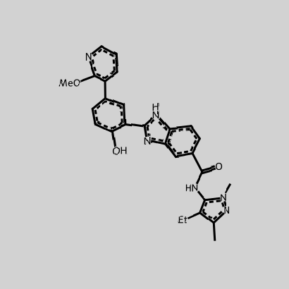 CCc1c(C)nn(C)c1NC(=O)c1ccc2[nH]c(-c3cc(-c4cccnc4OC)ccc3O)nc2c1